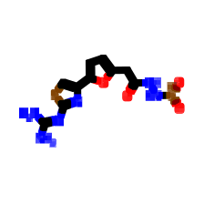 NC(N)=Nc1nc(-c2ccc(CC(=O)NN[SH](=O)=O)o2)cs1